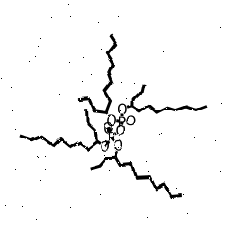 CCCCCCCCC(CCC)OP(=O)(OC(CCC)CCCCCCCC)OP(=O)(OC(CCC)CCCCCCCC)OC(CCC)CCCCCCCC